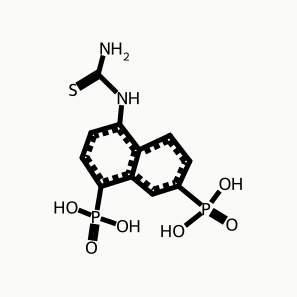 NC(=S)Nc1ccc(P(=O)(O)O)c2cc(P(=O)(O)O)ccc12